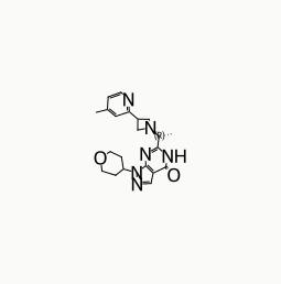 Cc1ccnc(C2CN([C@H](C)c3nc4c(cnn4C4CCOCC4)c(=O)[nH]3)C2)c1